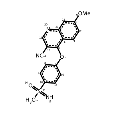 COc1ccc2c(Oc3ccc(S(C)(=N)=O)cc3)c(C#N)cnc2c1